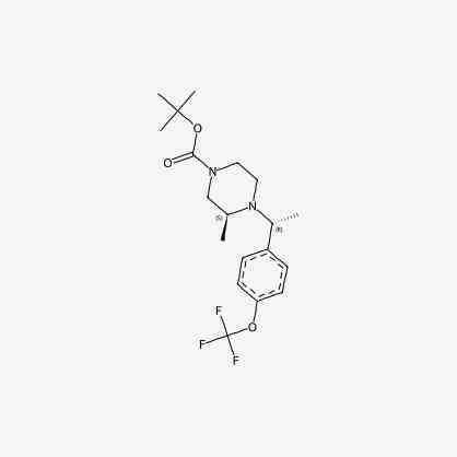 C[C@H](c1ccc(OC(F)(F)F)cc1)N1CCN(C(=O)OC(C)(C)C)C[C@@H]1C